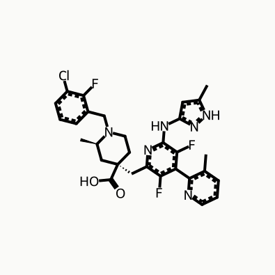 Cc1cc(Nc2nc(C[C@@]3(C(=O)O)CCN(Cc4cccc(Cl)c4F)[C@H](C)C3)c(F)c(-c3ncccc3C)c2F)n[nH]1